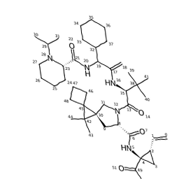 C=C[C@@H]1C[C@]1(NC(=O)[C@@H]1C[C@@]2(CN1C(=O)[C@@H](NC(=C)C(NC(=O)[C@@H]1CCCCN1C(C)C)C1CCCCC1)C(C)(C)C)C(C)(C)C21CCC1)C(N)=O